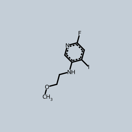 COCCNc1cnc(F)cc1I